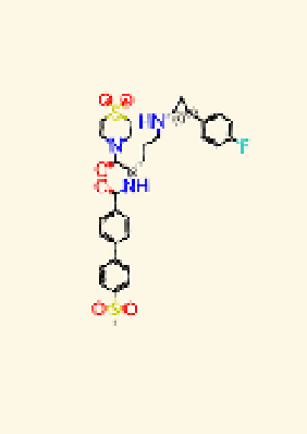 CS(=O)(=O)c1ccc(-c2ccc(C(=O)N[C@@H](CCCN[C@@H]3C[C@H]3c3ccc(F)cc3)C(=O)N3CCS(=O)(=O)CC3)cc2)cc1